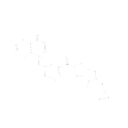 O=C(c1cc(Cc2n[nH]c(=O)c3ccccc23)ccc1F)N1C=C2C(=O)N(C(=O)C3CC3)C(=O)C2C1